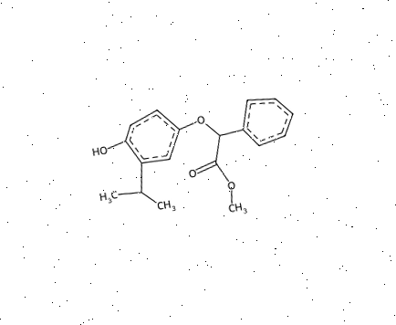 COC(=O)C(Oc1ccc(O)c(C(C)C)c1)c1ccccc1